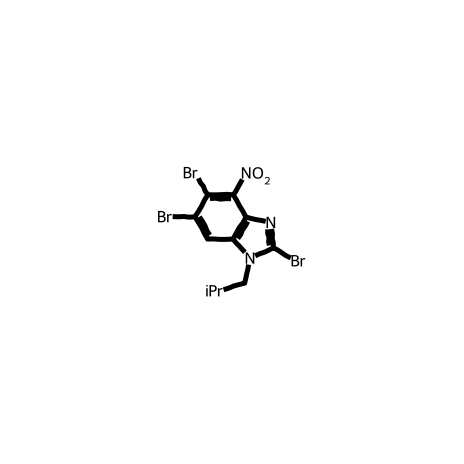 CC(C)Cn1c(Br)nc2c([N+](=O)[O-])c(Br)c(Br)cc21